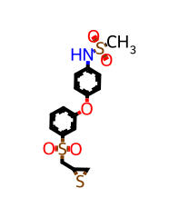 CS(=O)(=O)Nc1ccc(Oc2cccc(S(=O)(=O)CC3CS3)c2)cc1